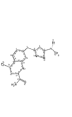 CC[C@@H](c1cn(Cc2ccc3c(Cl)cc(C(N)=O)nc3c2)nn1)C(F)(F)F